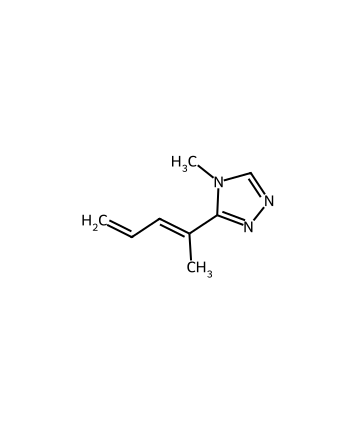 C=C/C=C(\C)c1nncn1C